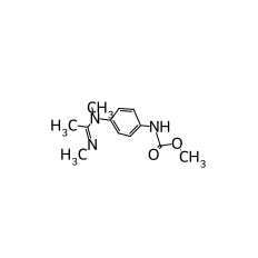 CN=C(C)N(C)c1ccc(NC(=O)OC)cc1